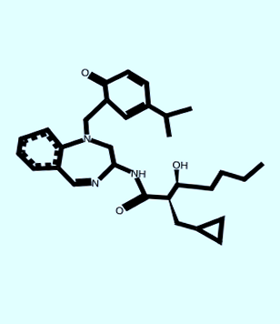 CCCC[C@H](O)[C@@H](CC1CC1)C(=O)NC1CN(CC2C=C(C(C)C)C=CC2=O)c2ccccc2C=N1